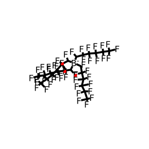 FC([B-](C(F)C(F)(F)C(F)(F)C(F)(F)C(F)(F)C(F)(F)F)(C(F)C(F)(F)C(F)(F)C(F)(F)C(F)(F)C(F)(F)F)C(F)C(F)(F)C(F)(F)C(F)(F)C(F)(F)C(F)(F)F)C(F)(F)C(F)(F)C(F)(F)C(F)(F)C(F)(F)F